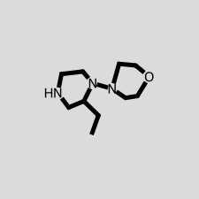 CCC1CNCCN1N1CCOCC1